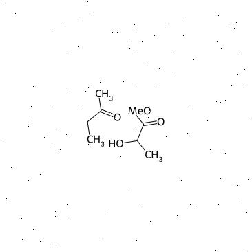 CCC(C)=O.COC(=O)C(C)O